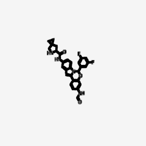 O=CNc1ccc2c(c1)OC(c1cc(F)cc(F)c1)n1c-2cc2cc(NC(=O)C3CC4(CC4)CN3)ccc21